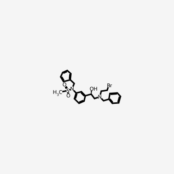 CS(=O)(=O)N(Cc1ccccc1)c1cccc([C@@H](O)CN(CCBr)Cc2ccccc2)c1